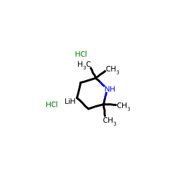 CC1(C)CCCC(C)(C)N1.Cl.Cl.[LiH]